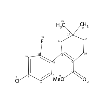 COC(=O)C1=C(c2ccc(Cl)cc2F)CC(C)(C)CC1